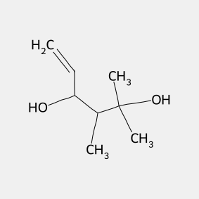 C=CC(O)C(C)C(C)(C)O